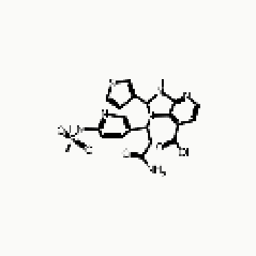 CS(=O)(=O)Nc1ccc(C(CC(N)=O)N2c3c(C(=O)O)ccnc3NC2c2ccsc2)cn1